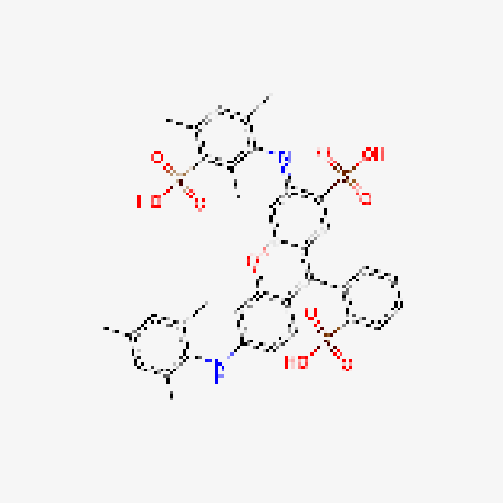 Cc1cc(C)c(Nc2ccc3c(-c4ccccc4S(=O)(=O)O)c4cc(S(=O)(=O)O)/c(=N/c5c(C)cc(C)c(S(=O)(=O)O)c5C)cc-4oc3c2)c(C)c1